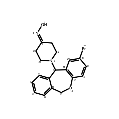 ON=C1CCN(C2c3ccccc3COc3ccc(Br)cc32)CC1